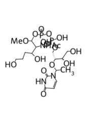 COC(OP(=O)(O)OP(=O)(O)OC[C@@H](OC(C)n1ccc(=O)[nH]c1=O)[C@H](O)CO)C(NC(C)=O)C(O)CCCO